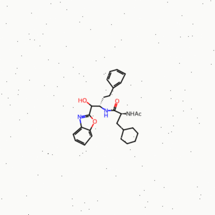 CC(=O)N[C@@H](CC1CCCCC1)C(=O)N[C@@H](CCc1ccccc1)C(O)c1nc2ccccc2o1